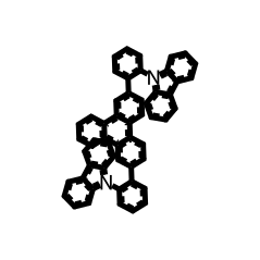 c1ccc(-n2c3ccccc3c3ccccc32)c(-c2ccc3c4ccc(-c5ccccc5-n5c6ccccc6c6ccccc65)cc4c4ccccc4c3c2)c1